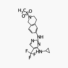 CS(=O)(=O)N1CCc2cc(Nc3ncc(C(F)(F)F)c(NC4CC4)n3)ccc2C1